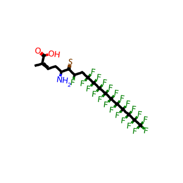 CC(=CCC(N)C(=S)C(F)CC(F)(F)C(F)(F)C(F)(F)C(F)(F)C(F)(F)C(F)(F)C(F)(F)C(F)(F)C(F)(F)C(F)(F)F)C(=O)O